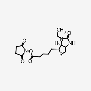 CCN1C(=O)NC2CS[C@@H](CCCCC(=O)ON3C(=O)CCC3=O)[C@H]21